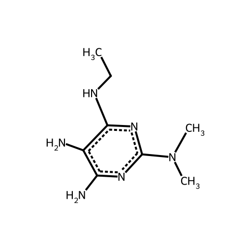 CCNc1nc(N(C)C)nc(N)c1N